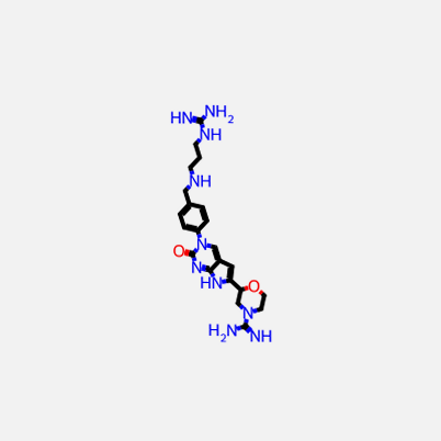 N=C(N)NCCCNCc1ccc(-n2cc3cc(C4CN(C(=N)N)CCO4)[nH]c3nc2=O)cc1